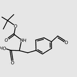 CC(C)(C)OC(=O)NC(Cc1ccc(C=O)cc1)C(=O)O